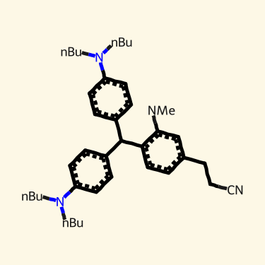 CCCCN(CCCC)c1ccc(C(c2ccc(N(CCCC)CCCC)cc2)c2ccc(CCC#N)cc2NC)cc1